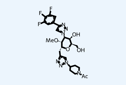 CO[C@@H]1[C@@H](n2cc(-c3cc(F)c(F)c(F)c3)nn2)[C@@H](O)[C@@H](CO)O[C@@H]1Cc1cn(C2CCN(C(C)=O)CC2)nn1